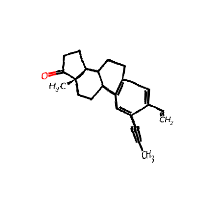 C=Cc1cc2c(cc1C#CC)C1CC[C@]3(C)C(=O)CCC3C1CC2